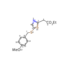 CCOC(=O)Cc1ncc(SCc2ccc(OC)cc2)s1